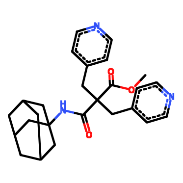 COC(=O)C(Cc1ccncc1)(Cc1ccncc1)C(=O)NC12CC3CC(CC(C3)C1)C2